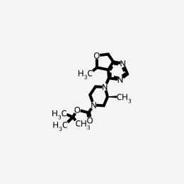 CC1OCc2ncnc(N3CCN(C(=O)OC(C)(C)C)C[C@@H]3C)c21